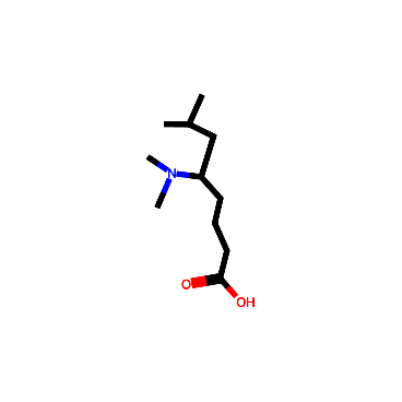 CC(C)CC(CCCC(=O)O)N(C)C